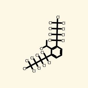 CC([O])c1c(C(Cl)(Cl)C(Cl)(Cl)C(Cl)(Cl)C(Cl)(Cl)Cl)cccc1C(Cl)(Cl)C(Cl)(Cl)C(Cl)(Cl)C(Cl)(Cl)Cl